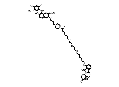 COc1cc(Nc2c(C#N)cnc3cc(OCCCN4CCN(C(=O)CCCCCOCCOCCOCCCCCCNc5cccc6c5C(=O)N(C5CCC(=O)NC5=O)C6=O)CC4)c(OC)cc23)c(Cl)cc1Cl